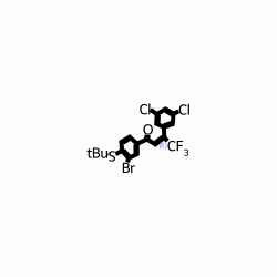 CC(C)(C)Sc1ccc(C(=O)/C=C(\c2cc(Cl)cc(Cl)c2)C(F)(F)F)cc1Br